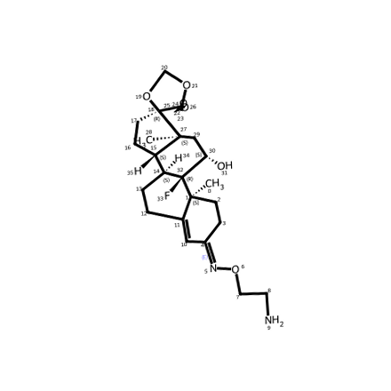 C[C@]12CC/C(=N\OCCN)C=C1CC[C@H]1[C@@H]3CC[C@@]4(OCOC45COCO5)[C@@]3(C)C[C@H](O)[C@@]12F